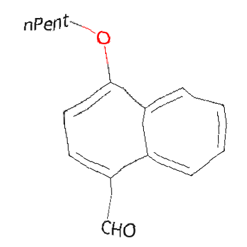 CCCCCOc1ccc(C=O)c2ccccc12